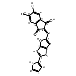 O=C1C(=Cc2cc3sc(-c4cccs4)nc3o2)C(=O)c2cc(Cl)c(Cl)cc21